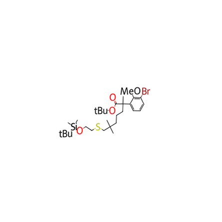 COc1c(Br)cccc1C(C)(CCCC(C)(C)CSCCO[Si](C)(C)C(C)(C)C)C(=O)OC(C)(C)C